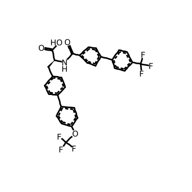 O=C(N[C@@H](Cc1ccc(-c2ccc(OC(F)(F)F)cc2)cc1)C(=O)O)c1ccc(-c2ccc(C(F)(F)F)cc2)cc1